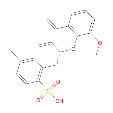 C=Cc1cccc(OC)c1O[C@@H](C=C)Cc1cc(C)ccc1S(=O)(=O)O